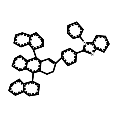 C1=C(c2ccc(-c3nc4ccccc4n3-c3ccccc3)cc2)CCc2c1c(-c1cccc3ccccc13)c1ccccc1c2-c1cccc2ccccc12